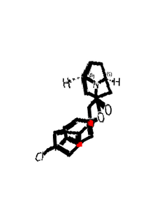 O=C(COc1ccc(Cl)cc1)N1[C@@H]2CC[C@H]1CC(Oc1ccc(F)cc1)C2